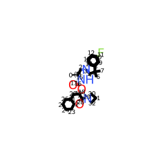 C[C@@H](CN1CC(C)(C)c2cc(F)ccc21)NC(=O)OC(CC1CCCCC1)C(=O)N1CCC1